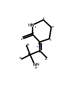 C=C1NCCC/C1=C(\C)C(C)(C)CCC